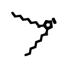 C=C.CCCCCCCOc1cscc1OCCCCCCC